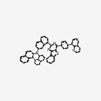 c1cc(-c2nc(-c3ccc(-c4cccc5cccnc45)cc3)c3sc4ccccc4c3n2)c2cc(N3c4ccc5ccccc5c4-c4cccc5cccc3c45)ccc2c1